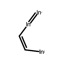 [In]/[CH]=[CH]\[In]=[In]